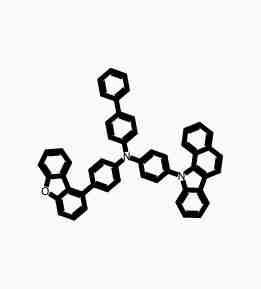 c1ccc(-c2ccc(N(c3ccc(-c4cccc5oc6ccccc6c45)cc3)c3ccc(-n4c5ccccc5c5ccc6ccccc6c54)cc3)cc2)cc1